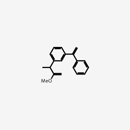 C=C(c1ccccc1)c1cccc(C(C)C(=C)OC)c1